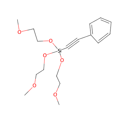 COCCO[Si](C#Cc1ccccc1)(OCCOC)OCCOC